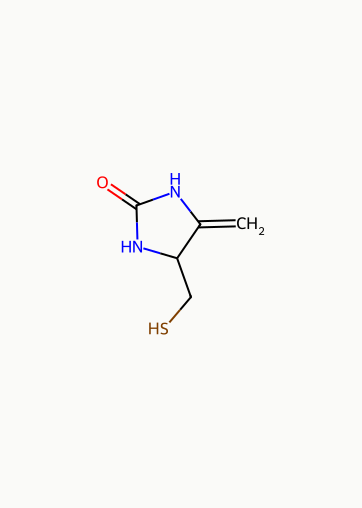 C=C1NC(=O)NC1CS